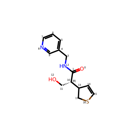 O=C(NCc1cccnc1)[C@@H](CO)C1C=CSC1